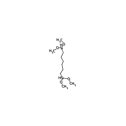 CO[SiH](CCCCCC[SiH](OC)OC)OC